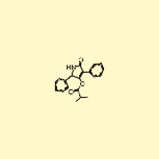 CC(C)C(=O)OC1=C(c2ccccc2)C(=O)NC1c1ccccc1